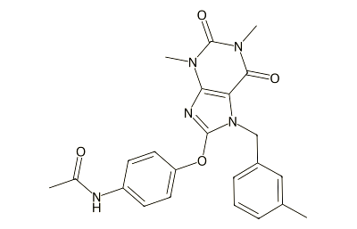 CC(=O)Nc1ccc(Oc2nc3c(c(=O)n(C)c(=O)n3C)n2Cc2cccc(C)c2)cc1